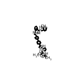 COC(=O)N[C@H](C(=O)N1CCC[C@H]1c1ncc(-c2ccc(-c3ccc(-c4cnc([C@@H]5C6CCC(C6)C5C(=O)NCc5cccnc5SC)[nH]4)cc3)cc2)[nH]1)[C@@H](C)OC